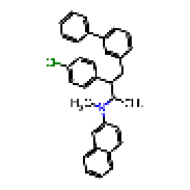 CC(C(Cc1cccc(-c2ccccc2)c1)c1ccc(Cl)cc1)N(C)c1ccc2ccccc2c1